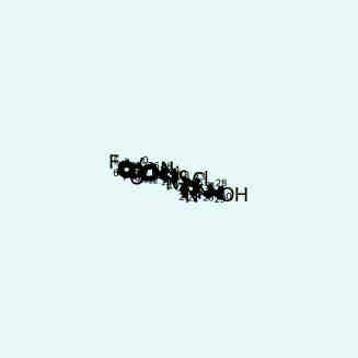 C[C@@H]1c2cc(F)ccc2OC12CCN(c1cnc(Sc3ccnc(N4CC(C(C)(C)O)C4)c3Cl)cn1)CC2